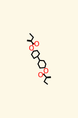 C=C(CC)C(=O)OC1CCC(C2CCC(OC(=O)C(=C)CC)CC2)CC1